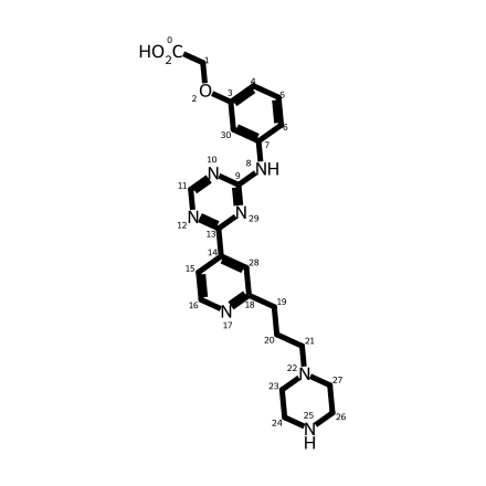 O=C(O)COc1cccc(Nc2ncnc(-c3ccnc(CCCN4CCNCC4)c3)n2)c1